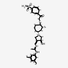 C/C(=N\C=C1\CN([C@@H]2CCCC(CCC(=O)C3=CC=C(S(N)(=O)=O)C=C=C3)[C@H](C)C2)CC1=N)Nc1cc(C)cc(C)c1